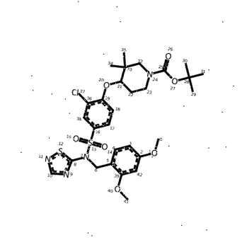 COc1ccc(CN(c2ncns2)S(=O)(=O)c2ccc(OC3CCN(C(=O)OC(C)(C)C)CC3(C)C)c(Cl)c2)c(OC)c1